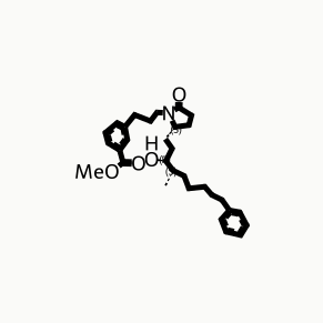 COC(=O)c1cccc(CCCN2C(=O)CC[C@@H]2CC[C@@H](O)[C@@H](C)CCCCCc2ccccc2)c1